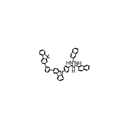 CC1(C)c2ccccc2-c2ccc(-c3cccc(-c4ccc5c(c4)c4ccccc4n5-c4ccc(C5NC(c6ccc7ccccc7c6)NC(c6ccc7ccccc7c6)N5)cc4)c3)cc21